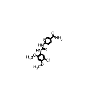 COc1cc(OC)c(NC(=S)Nc2ccc(C(N)=O)cn2)cc1Cl